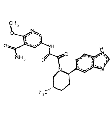 COc1ncc(NC(=O)C(=O)N2C[C@@H](C)CC[C@@H]2c2ccc3[nH]cnc3c2)cc1C(N)=O